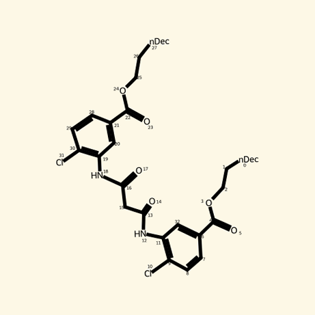 CCCCCCCCCCCCOC(=O)c1ccc(Cl)c(NC(=O)CC(=O)Nc2cc(C(=O)OCCCCCCCCCCCC)ccc2Cl)c1